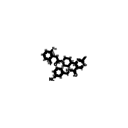 Cc1ncc(C(=O)NCc2cccc(C#N)c2)c(C2CCN(C(=O)Cc3c(F)cccc3F)CC2)n1